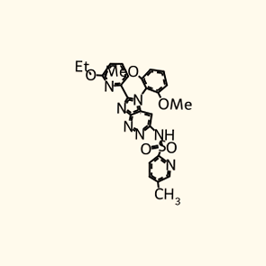 CCOc1cccc(-c2nc3nnc(NS(=O)(=O)c4ccc(C)cn4)cc3n2-c2c(OC)cccc2OC)n1